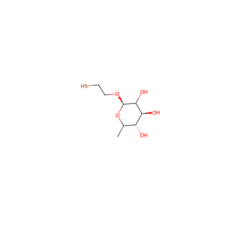 CC1O[C@@H](OCCS)C(O)[C@@H](O)[C@@H]1O